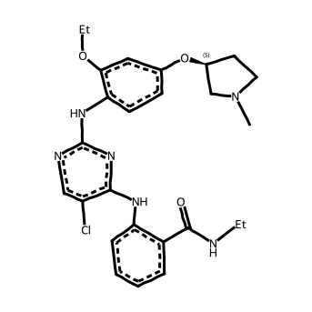 CCNC(=O)c1ccccc1Nc1nc(Nc2ccc(O[C@H]3CCN(C)C3)cc2OCC)ncc1Cl